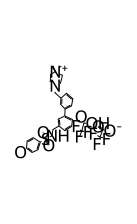 COc1ccc(S(=O)(=O)NCc2cccc(-c3cccc(CN4CC[N+](C)(C)CC4)c3)c2)cc1.O=C(O)C(F)(F)F.O=C([O-])C(F)(F)F